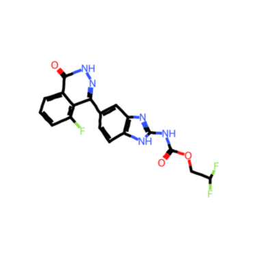 O=C(Nc1nc2cc(-c3n[nH]c(=O)c4cccc(F)c34)ccc2[nH]1)OCC(F)F